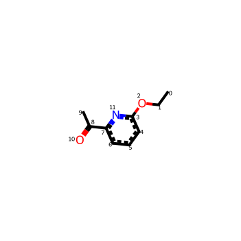 CCOc1cccc(C(C)=O)n1